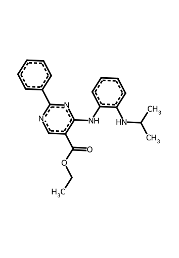 CCOC(=O)c1cnc(-c2ccccc2)nc1Nc1ccccc1NC(C)C